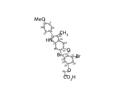 COc1ccc(-c2[nH]c3ccc(Oc4c(Br)cc(OCC(=O)O)cc4Br)cc3c2C)cc1